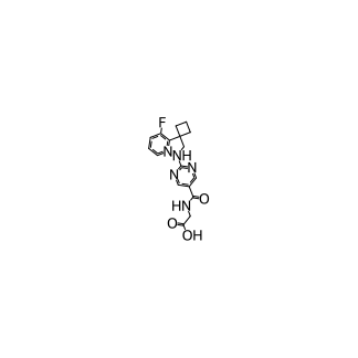 O=C(O)CNC(=O)c1cnc(NCC2(c3ncccc3F)CCC2)nc1